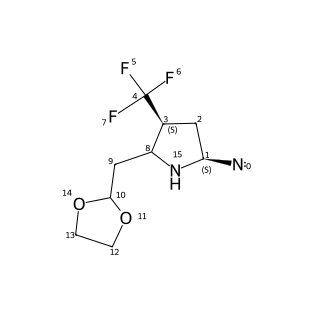 [N][C@@H]1C[C@H](C(F)(F)F)C(CC2OCCO2)N1